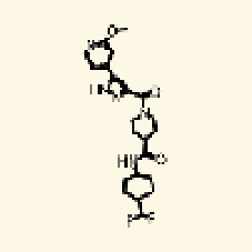 COc1cc(-c2cc(C(=O)N3CCC(C(=O)NC4CCC(C(F)F)CC4)CC3)n[nH]2)ccn1